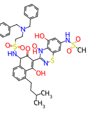 CC(C)CCc1cccc2c1C(O)=C(C1=NSc3cc(NS(C)(=O)=O)cc(O)c3N1O)C(=O)C2NS(=O)(=O)CCN(Cc1ccccc1)Cc1ccccc1